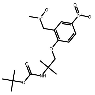 C[S+]([O-])Cc1cc([N+](=O)[O-])ccc1OCC(C)(C)NC(=O)OC(C)(C)C